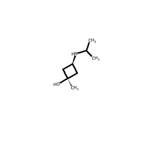 CC(C)N[C@H]1C[C@@](C)(O)C1